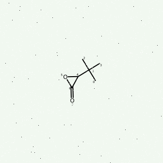 CC(C)(C)C1OC1=O